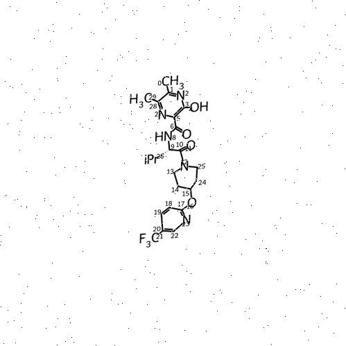 Cc1nc(O)c(C(=O)N[C@H](C(=O)N2CCC(Oc3ccc(C(F)(F)F)cn3)CC2)C(C)C)nc1C